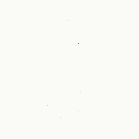 CN(C12CC(C1)C2)S(=O)(=O)C[C@H]1C[C@@H](N(C)c2ncnc3[nH]ccc23)C1